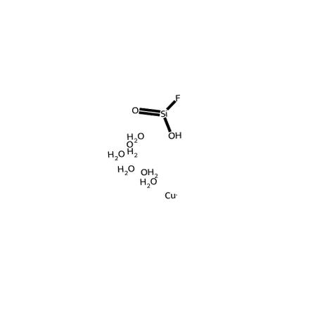 O.O.O.O.O.O.O=[Si](O)F.[Cu]